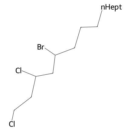 CCCCCCCCCCC(Br)CC(Cl)CCCl